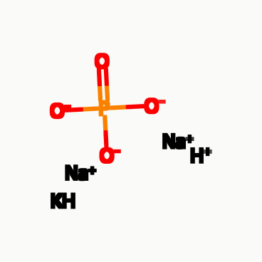 O=P([O-])([O-])[O-].[H+].[KH].[Na+].[Na+]